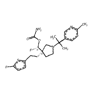 Cc1ccc(C(C)(C)N2CC[C@@](CCc3ccc(F)s3)([C@H](F)OC(N)=O)C2)cn1